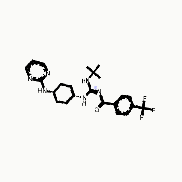 CC(C)(C)N/C(=N/C(=O)c1ccc(C(F)(F)F)cc1)N[C@H]1CC[C@H](Nc2ncccn2)CC1